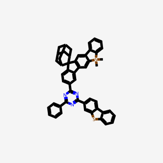 CS1(C)c2ccccc2-c2cc3c(cc21)-c1cc(-c2nc(-c4ccccc4)nc(-c4ccc5c(c4)sc4ccccc45)n2)ccc1C31C2CC3CC(C2)CC1C3